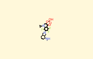 CNC1C=CCC2CN(c3c(F)c(F)c4c(=O)c(OC(=O)O)cn(C5CC5)c4c3F)CC21